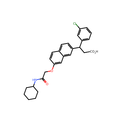 O=C(O)CC(c1cccc(Cl)c1)c1ccc2ccc(OCC(=O)NC3CCCCC3)cc2c1